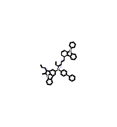 C=C/C=c1\c(=C)n2c3ccccc3c3cc(N(/C(C=C)=C/C=C/C4CC=Cc5c4c4ccccc4n5-c4ccccc4)c4ccc(-c5ccccc5)cc4)cc1c32